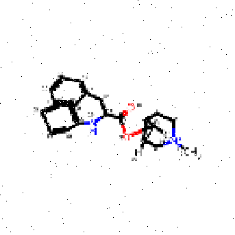 C[N+]12CCC(CC1)[C@@H](OC(=O)C(Cc1ccccc1)Nc1ccccc1)C2